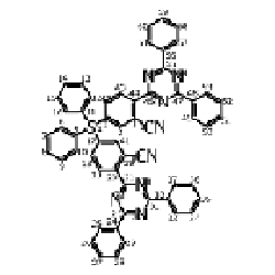 N#Cc1cc(S(c2ccccc2)(c2ccccc2)c2ccc(-c3nc(-c4ccccc4)nc(-c4ccccc4)n3)c(C#N)c2)ccc1-c1nc(-c2ccccc2)nc(-c2ccccc2)n1